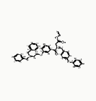 CCOC(=O)CN(Cc1ccc(Oc2ccccc2)cc1)C(=O)c1cccc(OCCN(Cc2ccccc2)Cc2ccccc2)c1